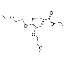 CCOCCOc1ccc(C(=O)OCC)cc1OCCOC